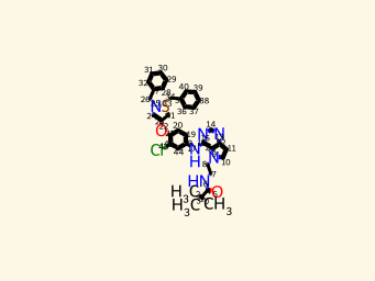 CC(C)(C)C(=O)NCCn1ccc2ncnc(Nc3ccc(OC4=CN(Cc5ccccc5)S(Cc5ccccc5)=C4)c(Cl)c3)c21